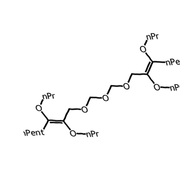 CCCCCC(OCCC)=C(COCOCOCC(OCCC)=C(CCCCC)OCCC)OCCC